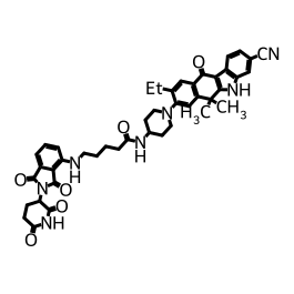 CCc1cc2c(cc1N1CCC(NC(=O)CCCCNc3cccc4c3C(=O)N(C3CCC(=O)NC3=O)C4=O)CC1)C(C)(C)c1[nH]c3cc(C#N)ccc3c1C2=O